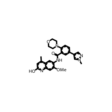 COc1cc2nc(O)cc(C)c2cc1NC(=O)c1cc(-c2cnn(C)c2)ccc1N1CCOCC1